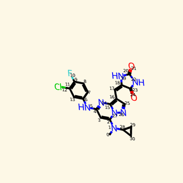 CN(c1cc(Nc2ccc(F)c(Cl)c2)nc2c(/C=C3/NC(=O)NC3=O)cnn12)C1CC1